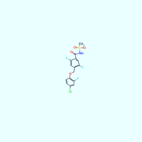 CS(=O)(=O)NC(=O)c1cc(F)c(COc2ccc(Cl)cc2F)cc1F